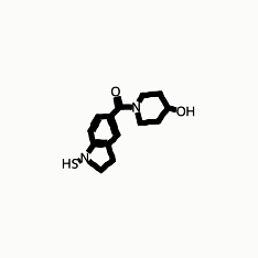 O=C(c1ccc2c(c1)CCN2S)N1CCC(O)CC1